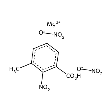 Cc1cccc(C(=O)O)c1[N+](=O)[O-].O=[N+]([O-])[O-].O=[N+]([O-])[O-].[Mg+2]